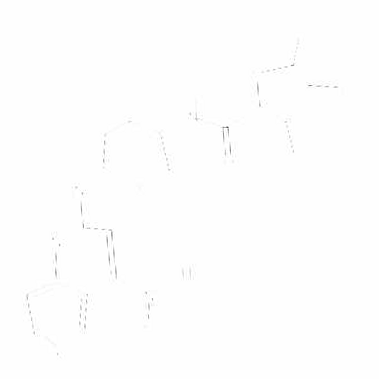 CN(C)c1cc(N[C@H]2CC[C@@H](NC(=O)c3sc(Cl)c(Cl)c3Cl)CC2)nc2ccccc12